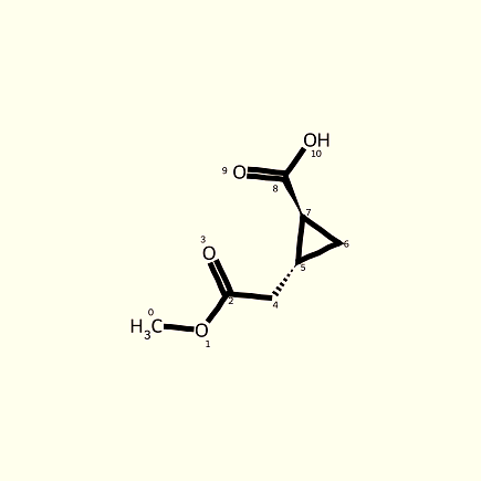 COC(=O)C[C@H]1C[C@@H]1C(=O)O